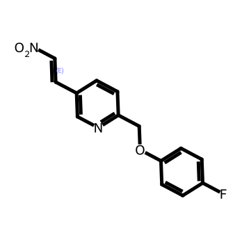 O=[N+]([O-])/C=C/c1ccc(COc2ccc(F)cc2)nc1